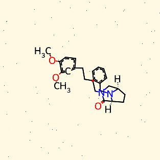 COc1ccc(CCCCN2C[C@H]3CC[C@@H](C2=O)N3Cc2ccccc2)cc1OC